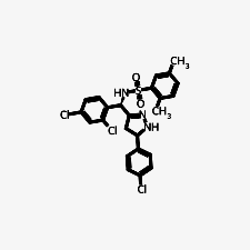 Cc1ccc(C)c(S(=O)(=O)N[C@@H](C2=NNC(c3ccc(Cl)cc3)C2)c2ccc(Cl)cc2Cl)c1